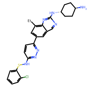 CCc1cc(-c2ccc(NSc3ccccc3Cl)nn2)cc2cnc(N[C@H]3CC[C@H](N)CC3)nc12